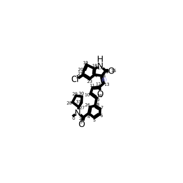 CN(C(=O)c1cccc(-c2ccc(/C=C3/C(=O)Nc4ccc(Cl)cc43)o2)c1)C1CCCC1